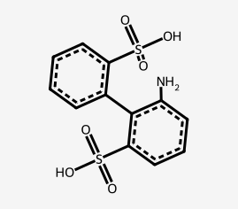 Nc1cccc(S(=O)(=O)O)c1-c1ccccc1S(=O)(=O)O